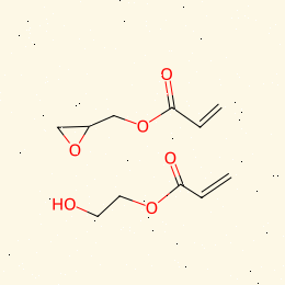 C=CC(=O)OCC1CO1.C=CC(=O)OCCO